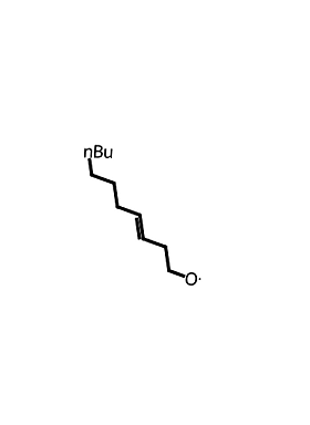 CCCCCCC/C=C/CC[O]